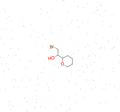 OC(CBr)C1CCCCO1